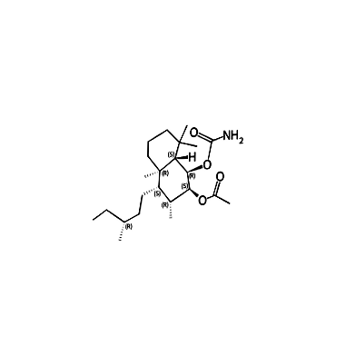 CC[C@@H](C)CC[C@H]1[C@@H](C)[C@H](OC(C)=O)[C@H](OC(N)=O)[C@H]2C(C)(C)CCC[C@]12C